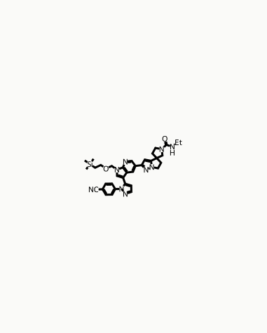 CCNC(=O)N1CCC2(CCn3nc(-c4cnc5c(c4)c(-c4ccnn4-c4ccc(C#N)cc4)cn5COCC[Si](C)(C)C)cc32)C1